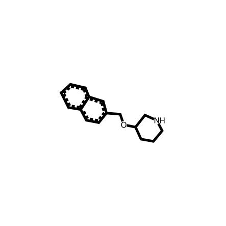 c1ccc2cc(COC3CCCNC3)ccc2c1